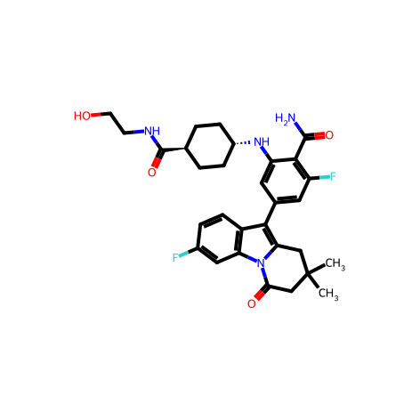 CC1(C)CC(=O)n2c(c(-c3cc(F)c(C(N)=O)c(N[C@H]4CC[C@H](C(=O)NCCO)CC4)c3)c3ccc(F)cc32)C1